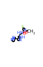 C=CC(=O)N1C[C@H](F)C[C@H]1C(=O)NCCc1cc2c(-c3cnn4ncccc34)ccnc2[nH]1